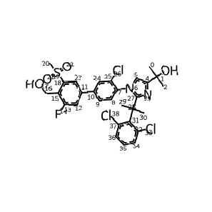 CC(C)(O)c1cn(-c2ccc(-c3cc(F)c(CO)c(S(C)(=O)=O)c3)cc2Cl)c(C(C)(C)c2c(Cl)cccc2Cl)n1